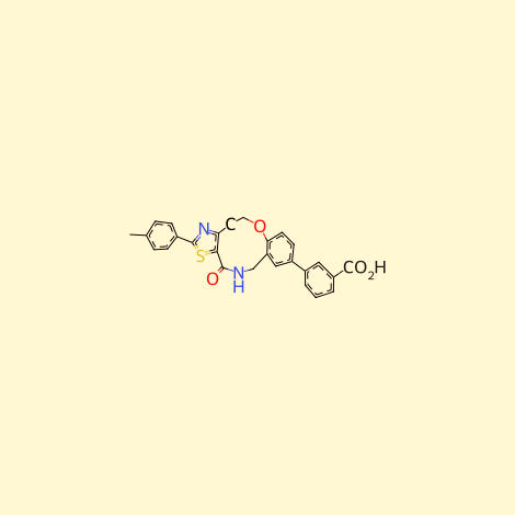 Cc1ccc(-c2nc3c(s2)C(=O)NCc2cc(-c4cccc(C(=O)O)c4)ccc2OCC3)cc1